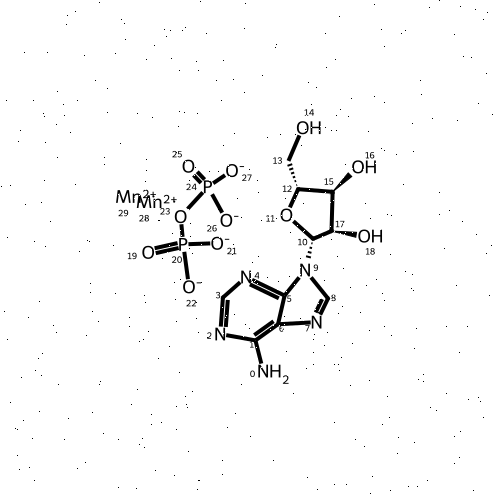 Nc1ncnc2c1ncn2[C@@H]1O[C@H](CO)[C@@H](O)[C@H]1O.O=P([O-])([O-])OP(=O)([O-])[O-].[Mn+2].[Mn+2]